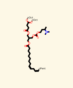 CCCCC/C=C\C/C=C\CCCCCCCC(=O)OCC(COC(=O)CCC(OCCCCCCCC)OCCCCCCCC)COC(=O)OCCC(C)N(C)C